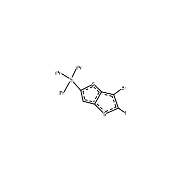 CC(C)[Si](c1cc2sc(I)c(Br)c2s1)(C(C)C)C(C)C